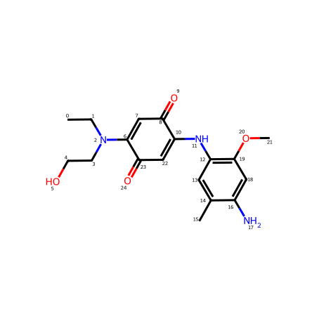 CCN(CCO)C1=CC(=O)C(Nc2cc(C)c(N)cc2OC)=CC1=O